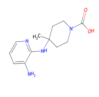 CC1(Nc2ncccc2N)CCN(C(=O)O)CC1